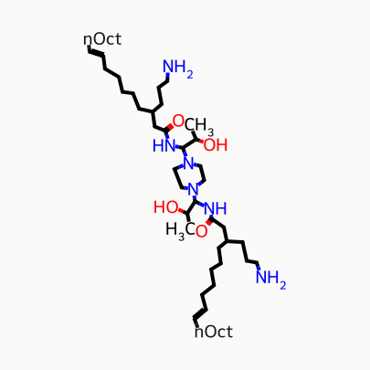 CCCCCCCCC=CCCCCCC(CCCN)CC(=O)NC(C(C)O)N1CCN(C(NC(=O)CC(CCCN)CCCCCC=CCCCCCCCC)C(C)O)CC1